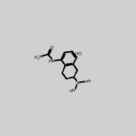 CCCN(CCC)C1CCc2c(cccc2NC(N)=O)C1.Cl